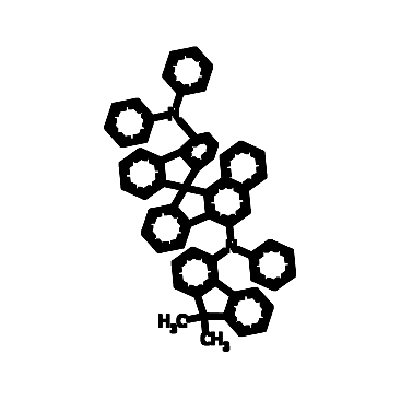 CC1(C)c2ccccc2-c2c(N(c3ccccc3)c3cc4ccccc4c4c3-c3ccccc3C43c4ccccc4-c4c(N(c5ccccc5)c5ccccc5)cccc43)cccc21